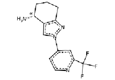 N[C@@H]1CCCc2nn(-c3ccnc(C(F)(F)F)c3)cc21